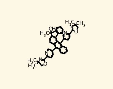 CC1(C)COC(c2ccc(-c3c4ccccc4c(-c4ccc(C5=NC(C)(C)CO5)nc4)c4c5c(ccc34)C(C)(C)c3ccccc3-5)cn2)=N1